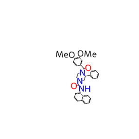 COc1ccc(C(=O)N2CCN(C(=O)Nc3cccc4ccccc34)CC2c2ccccc2)cc1OC